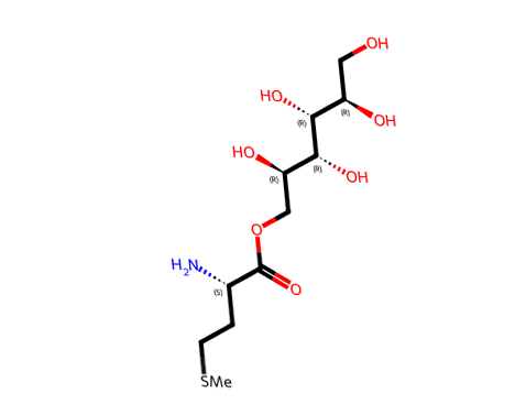 CSCC[C@H](N)C(=O)OC[C@@H](O)[C@@H](O)[C@H](O)[C@H](O)CO